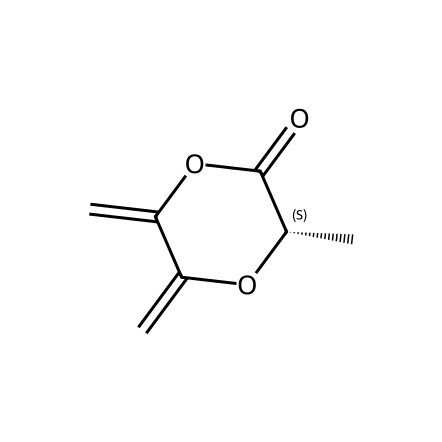 C=C1OC(=O)[C@H](C)OC1=C